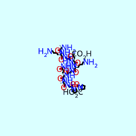 C[C@H](N)C(=O)N[C@@H](CCCCN)C(=O)NCC(=O)N[C@@H](CCC(=O)O)C(=O)N[C@@H](CCCCN)C(=O)NCC(=O)N[C@@H](CCC(N)=O)C(=O)N[C@@H](C)C(=O)NCC(=O)N1CCC[C@H]1C(=O)N1CCC[C@H]1C(=O)O